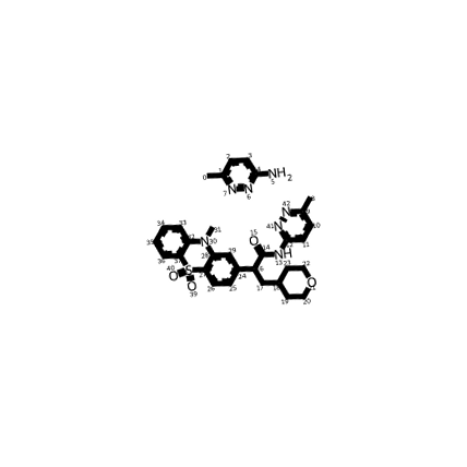 Cc1ccc(N)nn1.Cc1ccc(NC(=O)C(CC2CCOCC2)c2ccc3c(c2)N(C)c2ccccc2S3(=O)=O)nn1